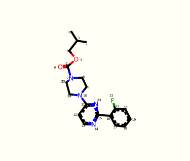 CC(C)COC(=O)N1CCN(c2ccnc(-c3ccccc3F)n2)CC1